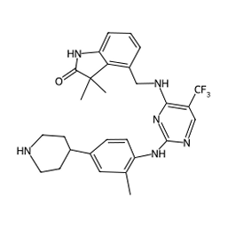 Cc1cc(C2CCNCC2)ccc1Nc1ncc(C(F)(F)F)c(NCc2cccc3c2C(C)(C)C(=O)N3)n1